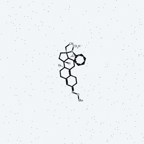 CC(C)(C)O/N=C1/C=C2CC[C@@H]3C(=C2CC1)CC[C@@]1(C)[C@H]3CC[C@]1(CC#N)N(C(=O)O)c1ccccc1